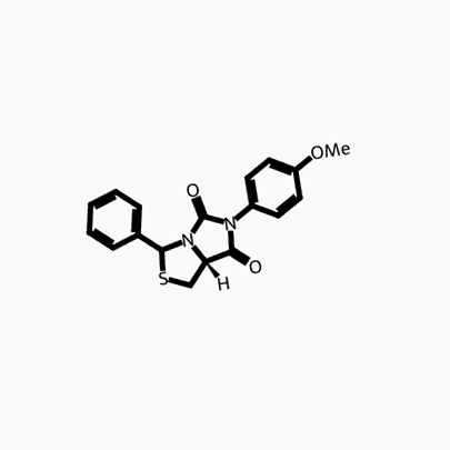 COc1ccc(N2C(=O)[C@@H]3CSC(c4ccccc4)N3C2=O)cc1